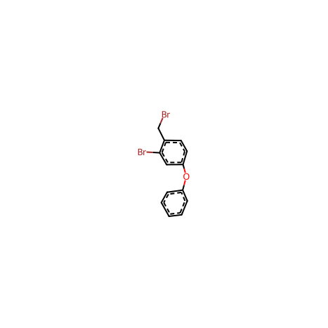 BrCc1ccc(Oc2ccccc2)cc1Br